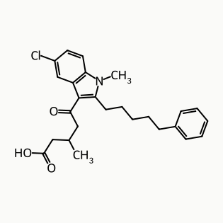 CC(CC(=O)O)CC(=O)c1c(CCCCCc2ccccc2)n(C)c2ccc(Cl)cc12